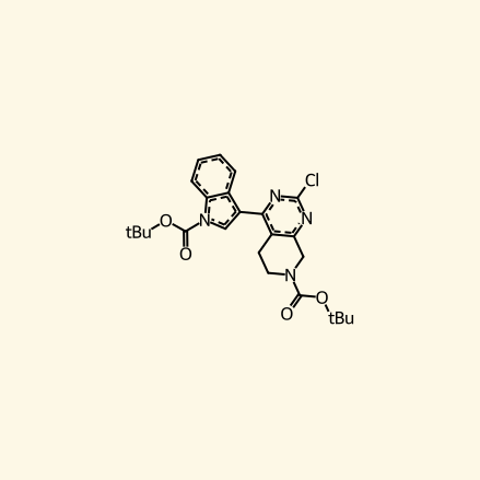 CC(C)(C)OC(=O)N1CCc2c(nc(Cl)nc2-c2cn(C(=O)OC(C)(C)C)c3ccccc23)C1